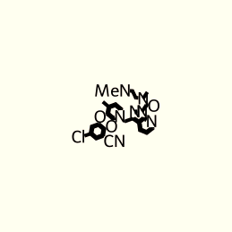 CNCCN(C)C(=O)n1nc(Cn2ccc(C)c(Oc3cc(Cl)cc(C#N)c3)c2=O)c2cccnc21